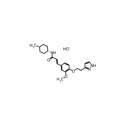 COc1cc(/C=C/C(=O)N[C@H]2CC[C@H](C)CC2)ccc1OCCc1cc[nH]n1.Cl